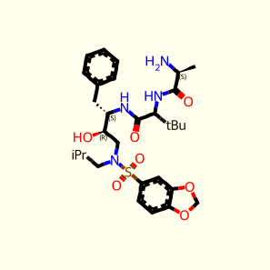 CC(C)CN(C[C@@H](O)[C@H](Cc1ccccc1)NC(=O)C(NC(=O)[C@H](C)N)C(C)(C)C)S(=O)(=O)c1ccc2c(c1)OCO2